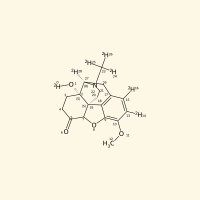 [2H]O[C@@]12CCC(=O)C3Oc4c(OC)c([2H])c([2H])c5c4[C@@]31CCN(C([2H])([2H])[2H])[C@]2([2H])C5